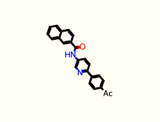 CC(=O)c1ccc(-c2ccc(NC(=O)c3ccc4ccccc4c3)cn2)cc1